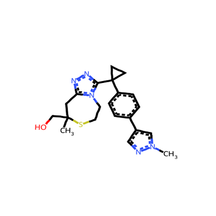 Cn1cc(-c2ccc(C3(c4nnc5n4CCSC(C)(CO)C5)CC3)cc2)cn1